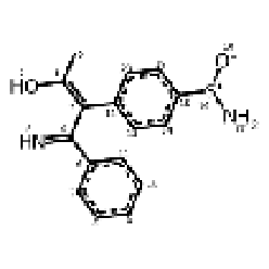 C/C(O)=C(/C(=N)c1ccccc1)c1ccc([S+](N)[O-])cc1